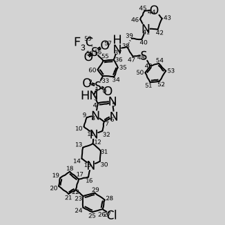 O=S(=O)(Nc1nnc2n1CCN(C1CCN(Cc3ccccc3-c3ccc(Cl)cc3)CC1)C2)c1ccc(N[C@H](CCN2CCOCC2)CSc2ccccc2)c(S(=O)(=O)C(F)(F)F)c1